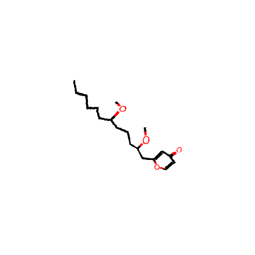 CCCCCCC(CCCC(Cc1cc(=O)cco1)OC)OC